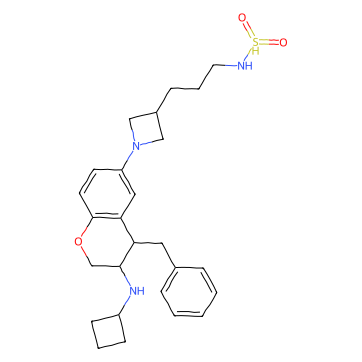 O=[SH](=O)NCCCC1CN(c2ccc3c(c2)C(Cc2ccccc2)C(NC2CCC2)CO3)C1